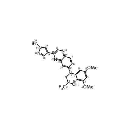 COc1cc(OC)cc(N(CC(O)C(F)(F)F)c2ccc3ncc(-c4cnn(C(C)C)c4)nc3c2)c1